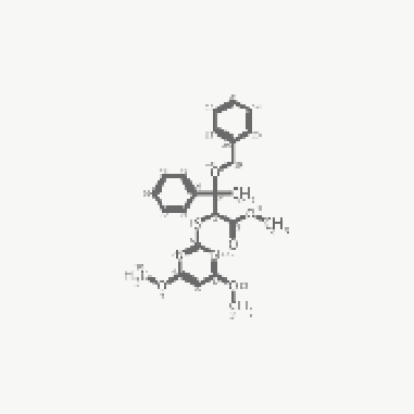 COC(=O)C(Sc1nc(OC)cc(OC)n1)C(C)(OCc1ccccc1)c1ccccc1